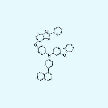 c1ccc(-c2nc3ccc4oc5ccc(N(c6ccc(-c7cccc8ccccc78)cc6)c6ccc7c(c6)oc6ccccc67)cc5c4c3s2)cc1